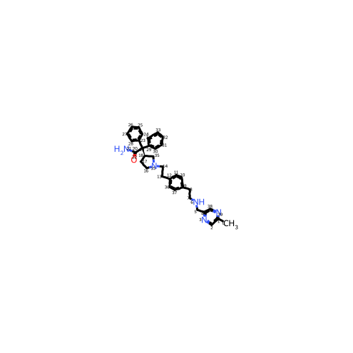 Cc1cnc(CNCCc2ccc(CCN3CC[C@@H](C(C(N)=O)(c4ccccc4)c4ccccc4)C3)cc2)cn1